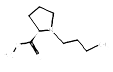 CCCCN1CCC[C@@H]1C(=O)OC